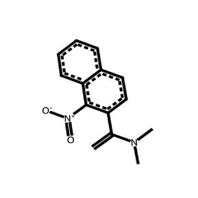 C=C(c1ccc2ccccc2c1[N+](=O)[O-])N(C)C